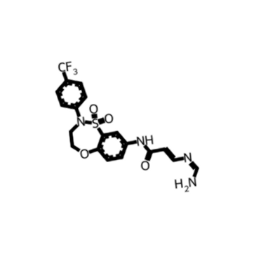 N/C=N\C=C\C(=O)Nc1ccc2c(c1)S(=O)(=O)N(c1ccc(C(F)(F)F)cc1)CCO2